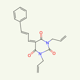 C=CCN1C(=O)C(=C/C=C/c2ccccc2)C(=O)N(CC=C)C1=O